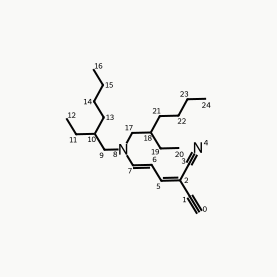 C#C/C(C#N)=C/C=C/N(CC(CC)CCCC)CC(CC)CCCC